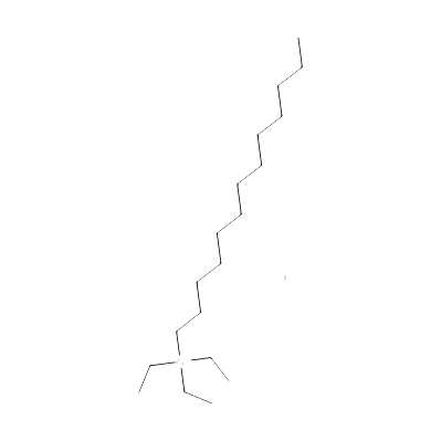 CCCCCCCCCCCCC[N+](CC)(CC)CC.[Br-]